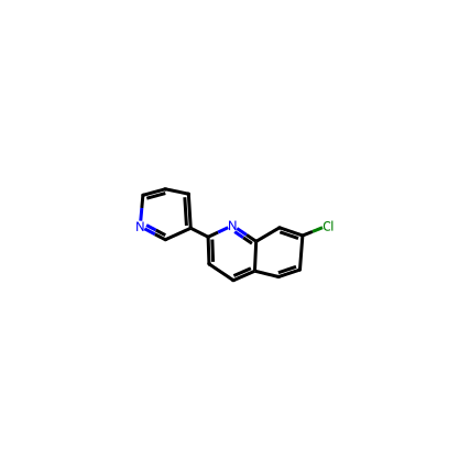 Clc1ccc2ccc(-c3cccnc3)nc2c1